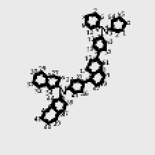 c1ccc(N(c2ccccc2)c2ccc(-c3ccc4c(-c5ccc(N(c6ccc7ccccc7c6)c6ccc7ccccc7c6)cc5)cccc4c3)cc2)cc1